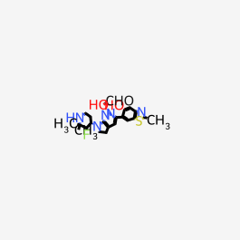 Cc1nc2cc(O)c(-c3cc4c(nn3)N([C@@H]3CCNC(C)(C)[C@@H]3F)CC4)cc2s1.O=CO